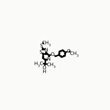 COc1ccc(COc2nc(C(C)(C)O)cc3sc(SC)nc23)cc1